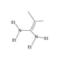 CCN(CC)C(=C(C)C)N(CC)CC